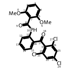 COc1cccc(OC)c1C(=O)Pc1ccccc1C(=O)c1c(Cl)cc(Cl)cc1Cl